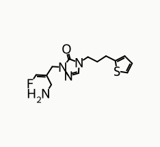 NC/C(=C\F)Cn1ncn(CCCc2cccs2)c1=O